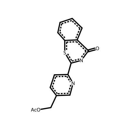 CC(=O)OCc1ccc(-c2nc(=O)c3ccccc3s2)nc1